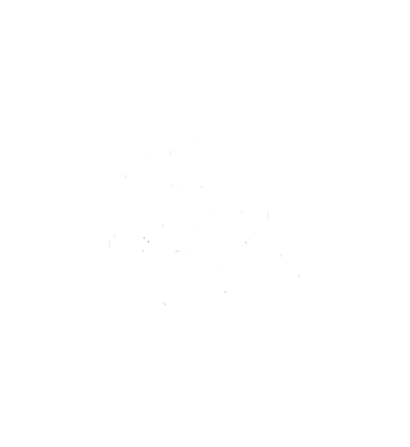 C=C(C)C(=O)OCC(=O)OCC(F)(F)S(=O)(=O)[O-].C[N+](C)(C)Cc1ccccc1